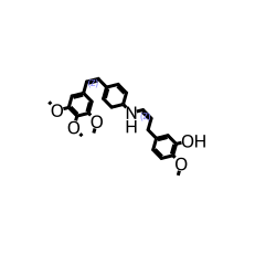 COc1ccc(C/C=C\NC2C=CC(/C=C\c3cc(OC)c(OC)c(OC)c3)=CC2)cc1O